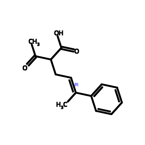 CC(=O)C(C/C=C(\C)c1ccccc1)C(=O)O